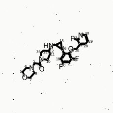 O=C(CN1CCOCC1)N1CCC(NC2CC2c2cc(F)cc(F)c2OCc2cccnc2F)CC1